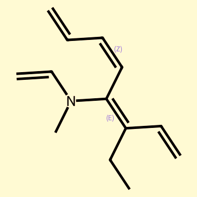 C=C/C=C\C(=C(/C=C)CC)N(C)C=C